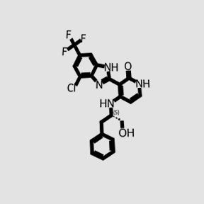 O=c1[nH]ccc(N[C@H](CO)Cc2ccccc2)c1-c1nc2c(Cl)cc(C(F)(F)F)cc2[nH]1